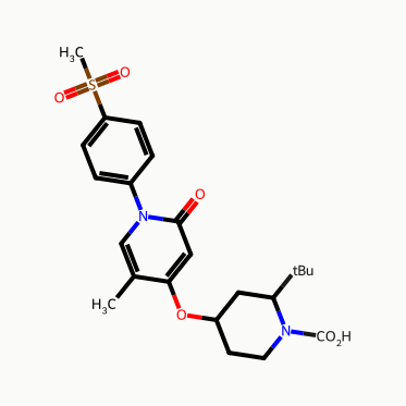 Cc1cn(-c2ccc(S(C)(=O)=O)cc2)c(=O)cc1OC1CCN(C(=O)O)C(C(C)(C)C)C1